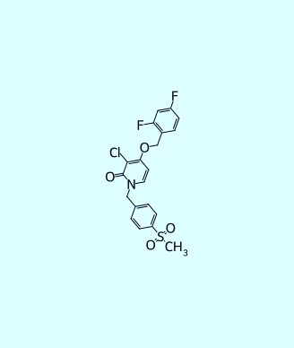 CS(=O)(=O)c1ccc(Cn2ccc(OCc3ccc(F)cc3F)c(Cl)c2=O)cc1